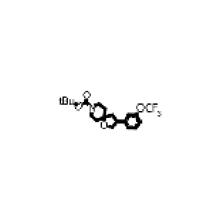 CC(C)(C)OC(=O)N1CCC2(CC1)CC(c1cccc(OC(F)(F)F)c1)CO2